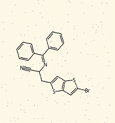 N#CC(Cc1cc2sc(Br)cc2s1)N=C(c1ccccc1)c1ccccc1